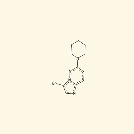 Brc1cnc2ccc(N3CCCCC3)nn12